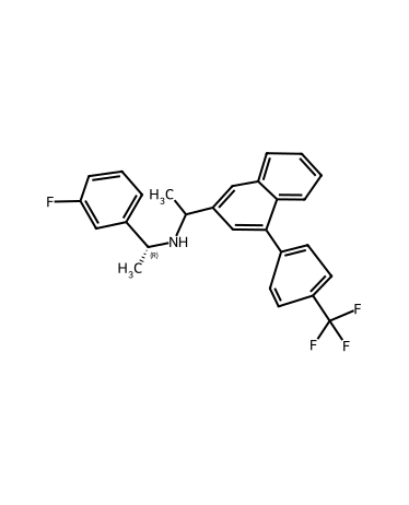 CC(N[C@H](C)c1cccc(F)c1)c1cc(-c2ccc(C(F)(F)F)cc2)c2ccccc2c1